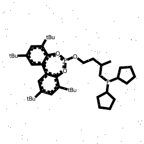 CC(CCOp1oc2c(C(C)(C)C)cc(C(C)(C)C)cc2c2cc(C(C)(C)C)cc(C(C)(C)C)c2o1)CP(C1CCCC1)C1CCCC1